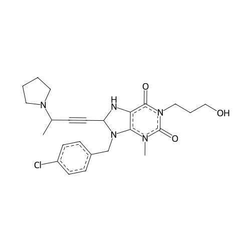 CC(C#CC1Nc2c(n(C)c(=O)n(CCCO)c2=O)N1Cc1ccc(Cl)cc1)N1CCCC1